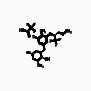 COC[C@@H](Oc1cc(C[C@@H]2C[S@@+]([O-])C[C@H](N)[C@H]2O)cc(F)c1N)C(F)(F)F.O=C(O)C(F)(F)F